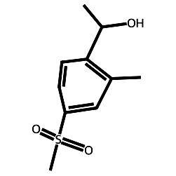 Cc1cc(S(C)(=O)=O)ccc1C(C)O